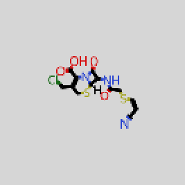 N#C/C=C\SCC(=O)NC1C(=O)N2C(C(=O)O)=C(CCl)CS[C@H]12